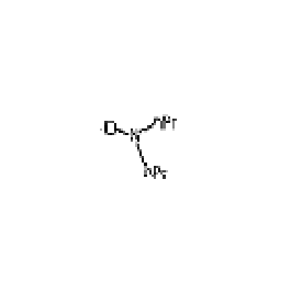 CCCN([O])CCC